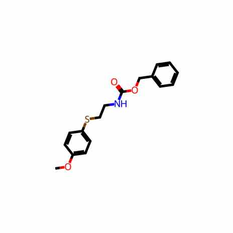 COc1ccc(SCCNC(=O)OCc2ccccc2)cc1